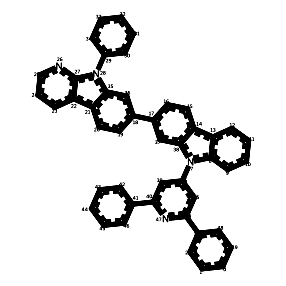 c1ccc(-c2cc(-n3c4ccccc4c4ccc(-c5ccc6c7cccnc7n(-c7ccccc7)c6c5)cc43)cc(-c3ccccc3)n2)cc1